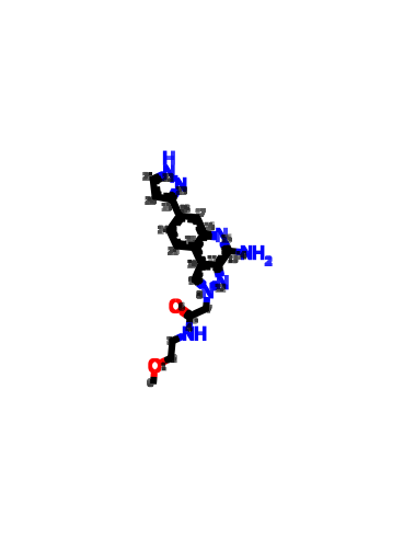 COCCNC(=O)Cn1cc2c(n1)c(N)nc1cc(-c3cc[nH]n3)ccc12